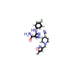 Cc1cc(CN2CC[C@H](C#N)[C@@H](n3cc(C(N)=O)c(Nc4ccc(F)cc4)n3)C2)no1